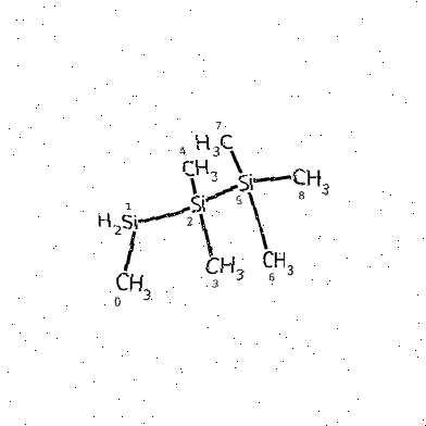 C[SiH2][Si](C)(C)[Si](C)(C)C